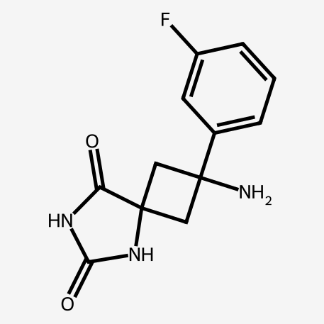 NC1(c2cccc(F)c2)CC2(C1)NC(=O)NC2=O